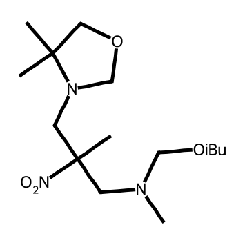 CC(C)COCN(C)CC(C)(CN1COCC1(C)C)[N+](=O)[O-]